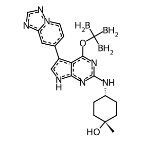 BC(B)(B)Oc1nc(N[C@H]2CC[C@@](C)(O)CC2)nc2[nH]cc(-c3ccn4ncnc4c3)c12